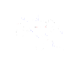 NC(=O)C12CC[C@@H](NC(=O)O)C(=O)N3[C@H](N(c4ccccc4)[C@@H]4CC[C@]56c7ccc(cc7)CC5(C(N)=O)CC[C@@H](NC(=O)O)C(=O)N46)CC[C@@]31c1ccc(cc1)C2